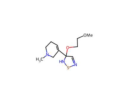 COCCOC1(C2=CCCN(C)C2)C=NSN1